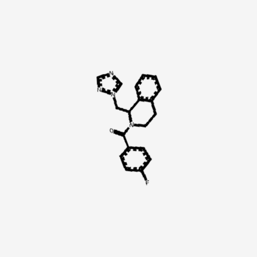 O=C(c1ccc(F)cc1)N1CCc2ccccc2C1Cn1cncn1